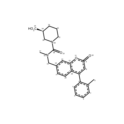 Cc1ccccc1-c1cc(=O)oc2cc(CN(C)C(=O)N3CCC[C@H](C(=O)O)C3)ccc12